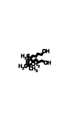 C[Si](C)(C)O[Si](C)(CCCCO)CCCCO